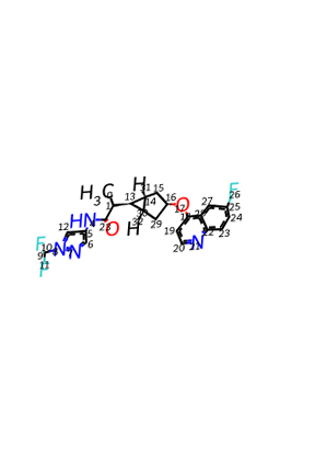 CC(C(=O)Nc1cnn(C(F)F)c1)[C@H]1[C@@H]2C[C@@H](Oc3ccnc4ccc(F)cc34)C[C@@H]21